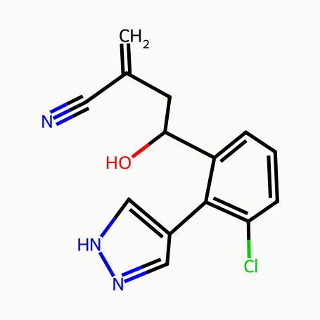 C=C(C#N)CC(O)c1cccc(Cl)c1-c1cn[nH]c1